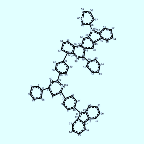 c1ccc(-c2cc(-c3ccc(-n4c5ccccc5c5ccccc54)cc3)nc(-c3ccc(-c4cccc5c4nc(-c4ccccc4)c4cc6c7ccccc7n(-c7ccccc7)c6cc45)cc3)n2)cc1